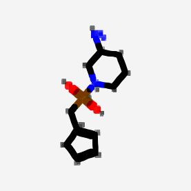 NC1CCCN(S(=O)(=O)CC2=CC=CC2)C1